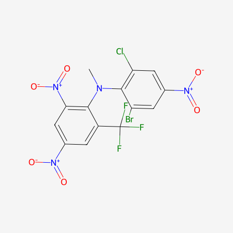 CN(c1c(Cl)cc([N+](=O)[O-])cc1Br)c1c([N+](=O)[O-])cc([N+](=O)[O-])cc1C(F)(F)F